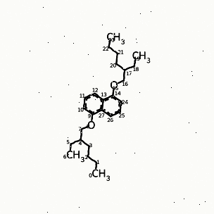 CCCCC(CC)COc1cccc2c(OCC(CC)CCCC)cccc12